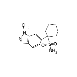 Cn1ncc2ccc(C3(S(N)(=O)=O)CCCCC3)cc21